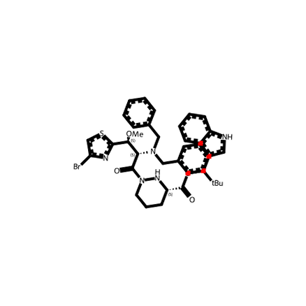 CO[C@H](c1nc(Br)cs1)[C@@H](C(=O)N1CCC[C@@H](C(=O)OC(c2c[nH]c3ccccc23)C(C)(C)C)N1)N(Cc1ccccc1)Cc1ccccc1